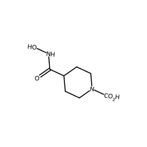 O=C(NO)C1CCN(C(=O)O)CC1